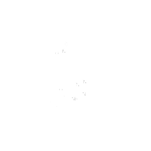 O=C(Nc1nc2cccc(-c3ccc([N+](=O)[O-])cc3)n2n1)C1CC1